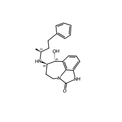 C[C@@H](CCc1ccccc1)N[C@@H]1CCn2c(=O)[nH]c3cccc(c32)[C@H]1O